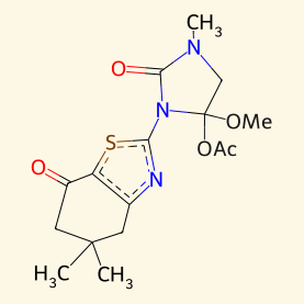 COC1(OC(C)=O)CN(C)C(=O)N1c1nc2c(s1)C(=O)CC(C)(C)C2